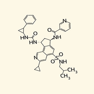 CC(C)CNS(=O)(=O)c1cc2c(c3cnc(C4CC4)cc13)[C@H](NC(=O)NC1CC1c1ccccc1)C[C@H]2NC(=O)c1cccnc1